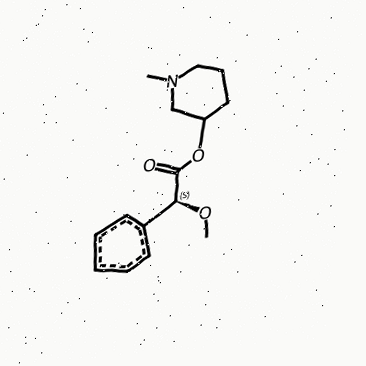 CO[C@H](C(=O)OC1CCCN(C)C1)c1ccccc1